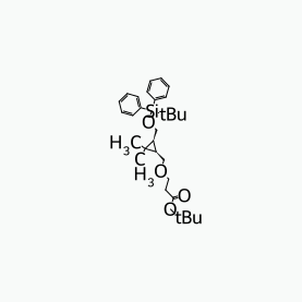 CC(C)(C)OC(=O)CCOC[C@@H]1[C@H](CO[Si](c2ccccc2)(c2ccccc2)C(C)(C)C)C1(C)C